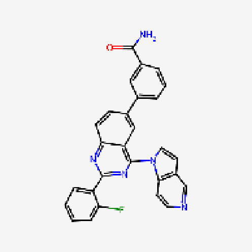 NC(=O)c1cccc(-c2ccc3nc(-c4ccccc4F)nc(-n4ccc5cnccc54)c3c2)c1